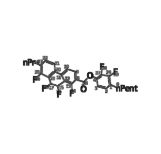 CCCCCc1ccc(OC(=O)c2ccc3c(c2F)C(F)C(F)c2c-3ccc(CCC)c2F)c(F)c1F